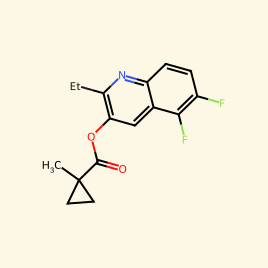 CCc1nc2ccc(F)c(F)c2cc1OC(=O)C1(C)CC1